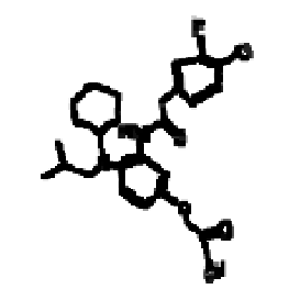 CC(C)CN(c1ccc(OCC(=O)O)cc1NC(=O)Cc1ccc(Cl)c(F)c1)C1CCCCC1